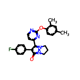 Cc1ccc(Oc2nccc(-c3c(-c4ccc(F)cc4)c(=O)n4n3CCC4)n2)c(C)c1